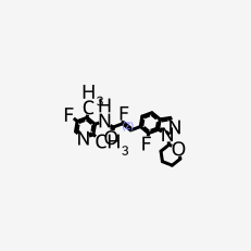 Cc1ncc(F)c(C)c1NC(=O)/C(F)=C/c1ccc2cnn(C3CCCCO3)c2c1F